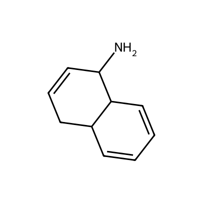 NC1C=CCC2C=CC=CC12